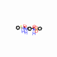 O=C(NSc1ccccc1)Nc1ccc(C(=O)NS(=O)(=O)c2ccccc2)cc1